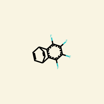 Fc1c(F)c(F)c2c(c1F)C1C=CC2C=C1